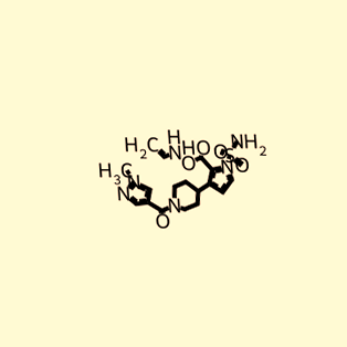 C=CNOC(O)c1c(C2CCN(C(=O)c3cnn(C)c3)CC2)ccn1S(N)(=O)=O